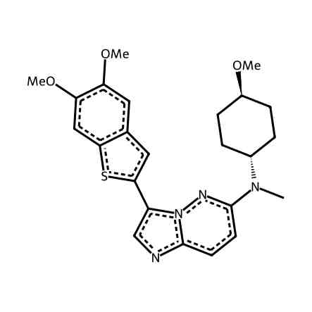 COc1cc2cc(-c3cnc4ccc(N(C)[C@H]5CC[C@H](OC)CC5)nn34)sc2cc1OC